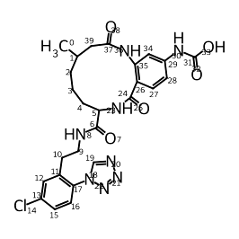 CC1CCCC(C(=O)NCCc2cc(Cl)ccc2-n2cnnn2)NC(=O)c2ccc(NC(=O)O)cc2NC(=O)C1